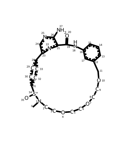 CN1CCOCCOCCOCc2cccc(c2)NC(=O)c2nc(cnc2N)-c2ccc(cc2)[S+]1[O-]